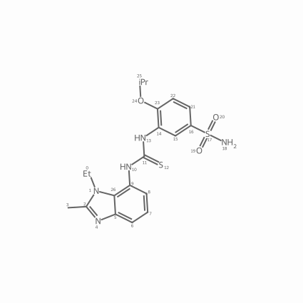 CCn1c(C)nc2cccc(NC(=S)Nc3cc(S(N)(=O)=O)ccc3OC(C)C)c21